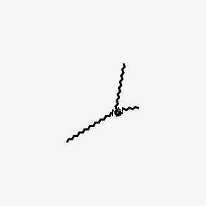 CCCCCCCCCCCCCCCCCC[n+]1ccn(CCCCCC)c1CCCCCCCCCCCCCCC